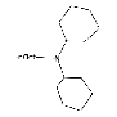 CCCCCCC[CH]N(C1CCCCC1)C1CCCCC1